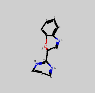 C1=Nc2ccccc2OC1c1ncccn1